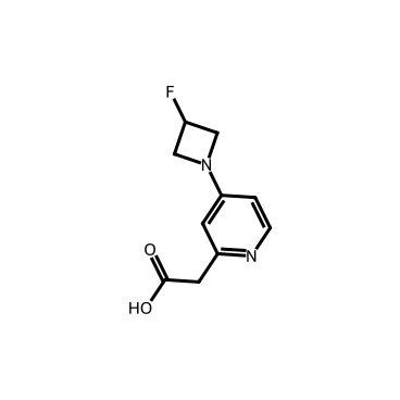 O=C(O)Cc1cc(N2CC(F)C2)ccn1